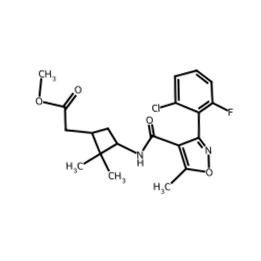 COC(=O)CC1CC(NC(=O)c2c(-c3c(F)cccc3Cl)noc2C)C1(C)C